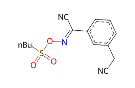 CCCCS(=O)(=O)ON=C(C#N)c1cccc(CC#N)c1